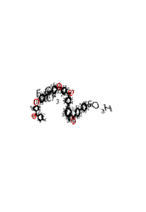 Cc1ccc(C(=O)c2ccc(Oc3ccc(C(c4ccc(Oc5ccc(C(=O)c6ccc(-c7ccc(C)c(C(=O)c8ccc(-c9ccc(S(=O)(=O)O)cc9)cc8)c7)cc6)cc5)cc4)(C(F)(F)F)C(F)(F)F)cc3)cc2)cc1